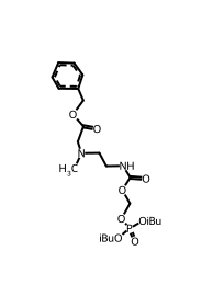 CC(C)COP(=O)(OCOC(=O)NCCN(C)CC(=O)OCc1ccccc1)OCC(C)C